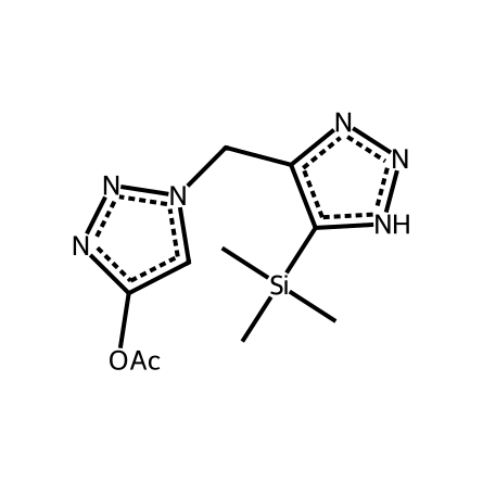 CC(=O)Oc1cn(Cc2nn[nH]c2[Si](C)(C)C)nn1